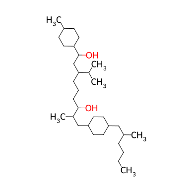 CCCCC(C)CC1CCC(CC(C)C(O)CCCC(CC(O)C2CCC(C)CC2)C(C)C)CC1